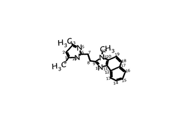 Cc1cc(C)nc(CCc2nc3c4ccccc4ccc3n2C)n1